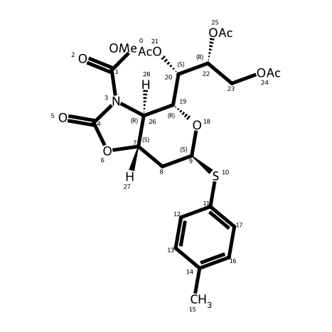 COC(=O)N1C(=O)O[C@H]2C[C@H](Sc3ccc(C)cc3)O[C@@H]([C@H](OC(C)=O)[C@@H](COC(C)=O)OC(C)=O)[C@@H]21